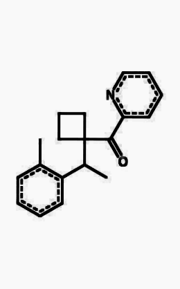 Cc1ccccc1C(C)C1(C(=O)c2ccccn2)CCC1